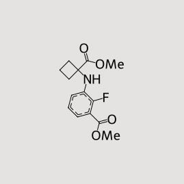 COC(=O)c1cccc(NC2(C(=O)OC)CCC2)c1F